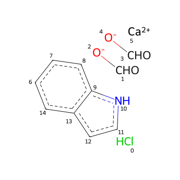 Cl.O=C[O-].O=C[O-].[Ca+2].c1ccc2[nH]ccc2c1